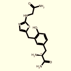 NC(=O)CNc1ncc(Cc2cc(C[C@H](N)C(N)=O)ccc2O)s1